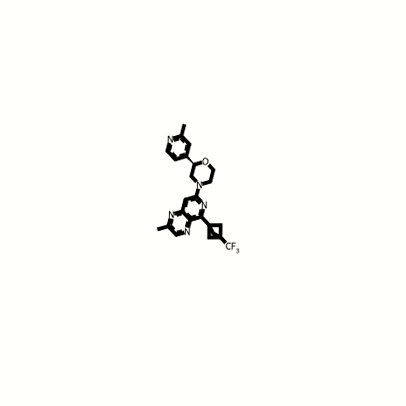 Cc1cc([C@@H]2CN(c3cc4nc(C)cnc4c(C45CC(C(F)(F)F)(C4)C5)n3)CCO2)ccn1